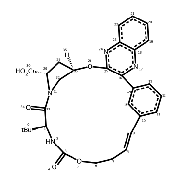 CC(C)(C)[C@@H]1NC(=O)OCC/C=C/c2cccc(c2)-c2nc3ccccc3nc2O[C@@H]2C[C@@H](C(=O)O)N(C2)C1=O